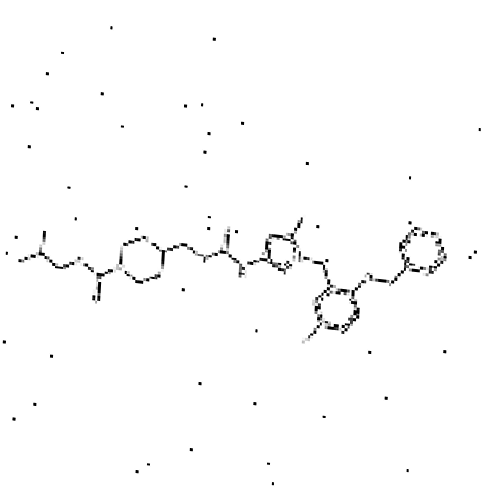 Cc1cc(NC(=O)OCC2CCN(C(=O)OCC(C)C)CC2)nn1Cc1cc(Br)ccc1OCc1ccccc1